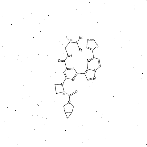 CCN(CC)[C@@H](C)CNC(=O)c1cc(-c2cnn3ccc(-c4cccs4)nc23)nc(N2CC[C@H]2C(=O)N2CC3CC3C2)c1